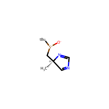 CC(C)(C)[S+]([O-])C[C@]1(C)C=NC=N1